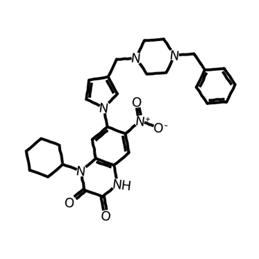 O=c1[nH]c2cc([N+](=O)[O-])c(-n3ccc(CN4CCN(Cc5ccccc5)CC4)c3)cc2n(C2CCCCC2)c1=O